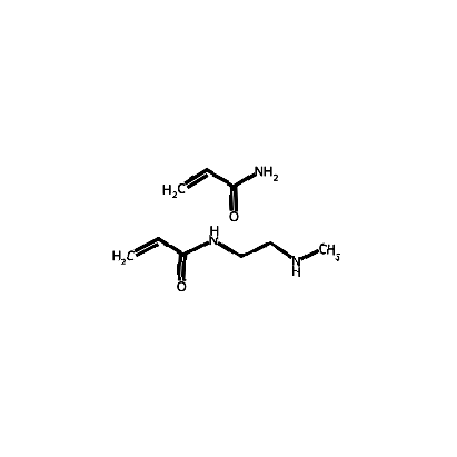 C=CC(=O)NCCNC.C=CC(N)=O